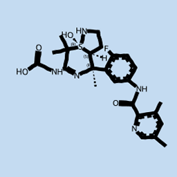 Cc1cnc(C(=O)Nc2ccc(F)c([C@@]3(C)N=C(NC(=O)O)C(C)(C)[S@@]4(O)NCC[C@@H]34)c2)c(C)c1